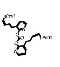 CCCCC/C=C\CCc1cccnc1OC(=O)Oc1ncccc1CC/C=C\CCCCC